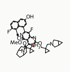 C#Cc1c(F)ccc2cc(O)cc(-c3nc(OC)c4c(N5CC6CCC(C5)N6C(=O)C5(C)CC5)nc(OCC5(CN6CC7CC7C6)CC5)nc4c3F)c12